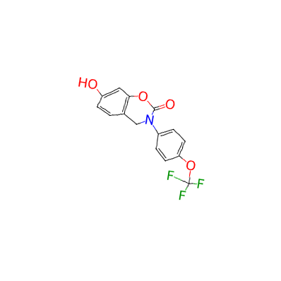 O=C1Oc2cc(O)ccc2CN1c1ccc(OC(F)(F)F)cc1